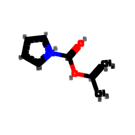 C=C(C)OC(=O)n1cccc1